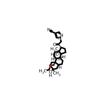 CCOC[C@]12CC[C@@](C)(O)C[C@@H]1CC[C@@H]1[C@@H]2CC[C@]2(C)[C@@H](C(=O)Cn3cc(C#N)cn3)CC[C@@]12C